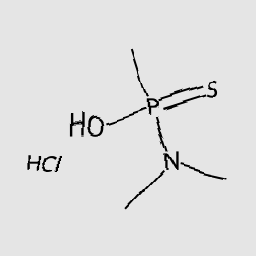 CN(C)P(C)(O)=S.Cl